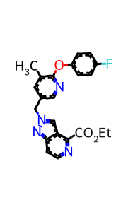 CCOC(=O)c1nccc2nn(Cc3cnc(Oc4ccc(F)cc4)c(C)c3)cc12